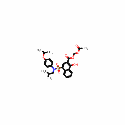 CC(=O)OCOC(=O)c1cc(S(=O)(=O)N(CC(C)C)c2ccc(OC(C)C)cc2)c2ccccc2c1O